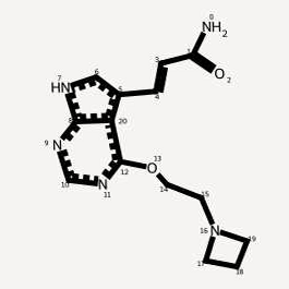 NC(=O)/C=C/c1c[nH]c2ncnc(OCCN3CCC3)c12